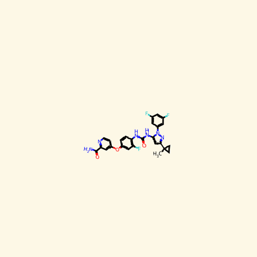 CC1(c2cc(NC(=O)Nc3ccc(Oc4ccnc(C(N)=O)c4)cc3F)n(-c3cc(F)cc(F)c3)n2)CC1